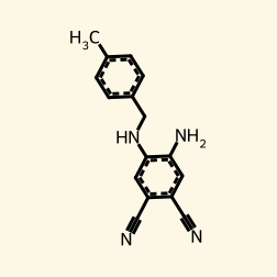 Cc1ccc(CNc2cc(C#N)c(C#N)cc2N)cc1